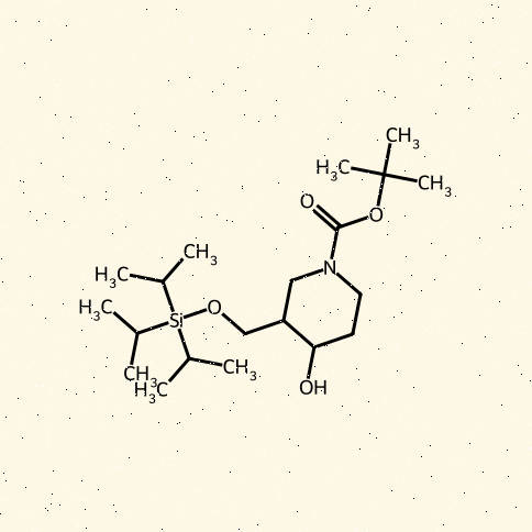 CC(C)[Si](OCC1CN(C(=O)OC(C)(C)C)CCC1O)(C(C)C)C(C)C